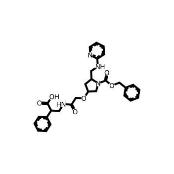 O=C(COC1CC(CNc2ccccn2)N(C(=O)OCc2ccccc2)C1)NCC(C(=O)O)c1ccccc1